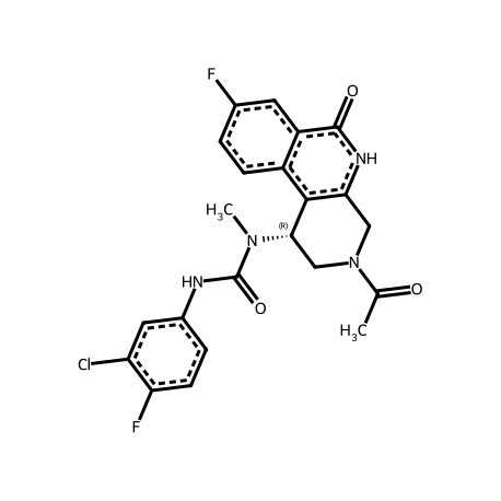 CC(=O)N1Cc2[nH]c(=O)c3cc(F)ccc3c2[C@@H](N(C)C(=O)Nc2ccc(F)c(Cl)c2)C1